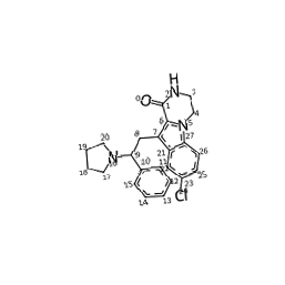 O=C1NCCn2c1c(CC(c1ccccc1)N1CCCC1)c1cc(Cl)ccc12